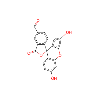 O=[C]c1ccc2c(c1)C(=O)OC21c2ccc(O)cc2Oc2cc(O)ccc21